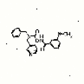 C=Nc1cccc(C(=O)NOC(=O)N(Cc2ccccc2)Cc2cccnc2)c1